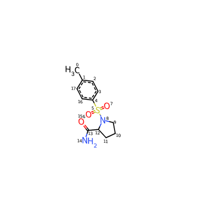 Cc1ccc(S(=O)(=O)N2CCCC2C(N)=O)cc1